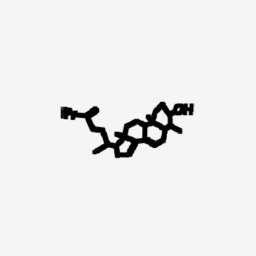 C=C(CCC(C)C1CC=C2C3=CCC4C(C)C(O)CCC4(C)C3CCC21C)C(C)C